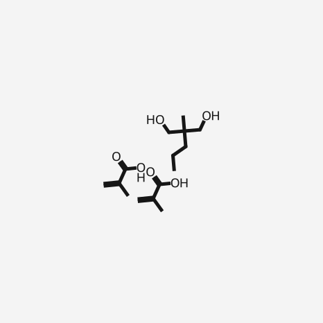 C=C(C)C(=O)O.C=C(C)C(=O)O.CCCC(C)(CO)CO